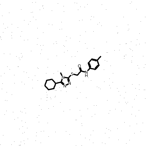 Cc1ccc(NC(=O)CSc2nnc(C3CCCCC3)n2C)cc1